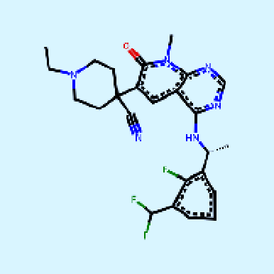 CCN1CCC(C#N)(c2cc3c(N[C@H](C)c4cccc(C(F)F)c4F)ncnc3n(C)c2=O)CC1